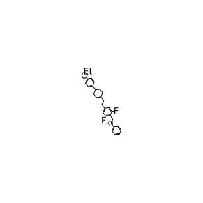 CCOc1ccc(C2CCC(CCc3cc(F)c(C[C@@H](C)c4ccccc4)c(F)c3)CC2)cc1